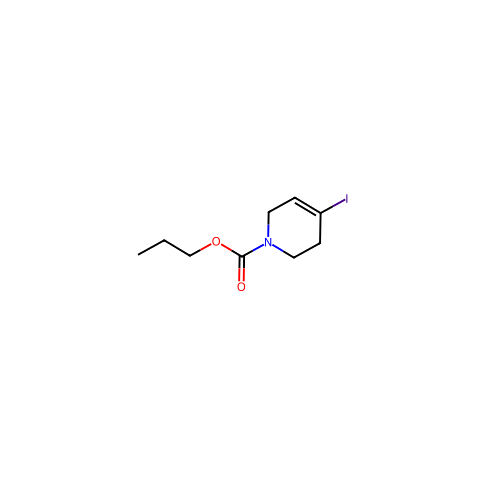 CCCOC(=O)N1CC=C(I)CC1